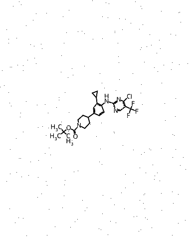 CC(C)(C)OC(=O)N1CCC(c2ccc(Nc3ncc(C(F)(F)F)c(Cl)n3)c(C3CC3)c2)CC1